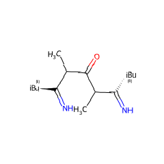 CC[C@@H](C)C(=N)C(C)C(=O)C(C)C(=N)[C@H](C)CC